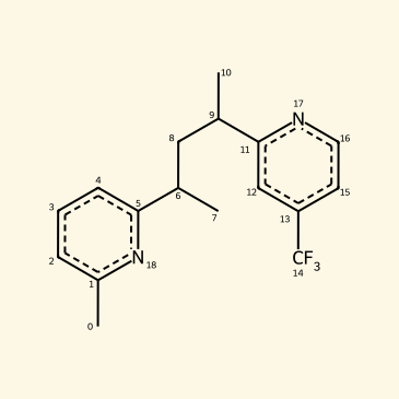 Cc1cccc(C(C)CC(C)c2cc(C(F)(F)F)ccn2)n1